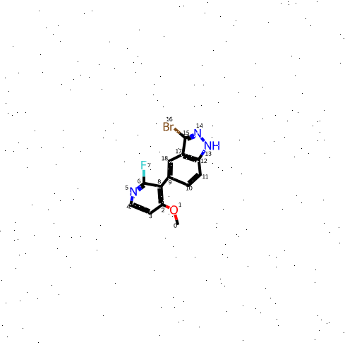 COc1ccnc(F)c1-c1ccc2[nH]nc(Br)c2c1